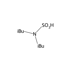 CCC(C)N(C(C)CC)S(=O)(=O)O